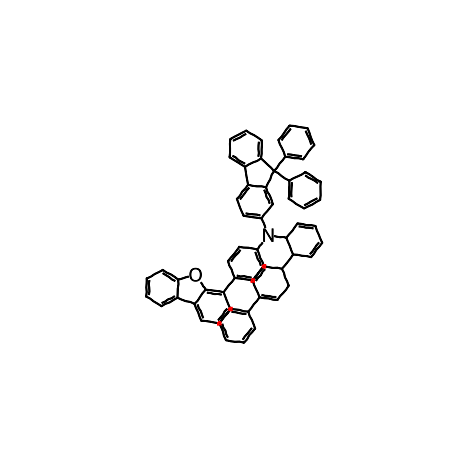 C1=CC(C2C=CC(c3ccccc3)=CC2)C(N(c2ccc(-c3cccc4c3oc3ccccc34)cc2)c2ccc3c(c2)C(c2ccccc2)(c2ccccc2)c2ccccc2-3)C=C1